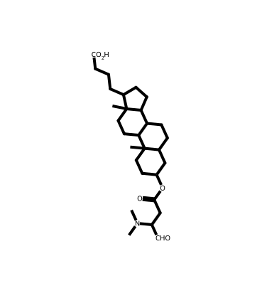 CN(C)C(C=O)CC(=O)OC1CCC2(C)C(CCC3C4CCC(CCCC(=O)O)C4(C)CCC32)C1